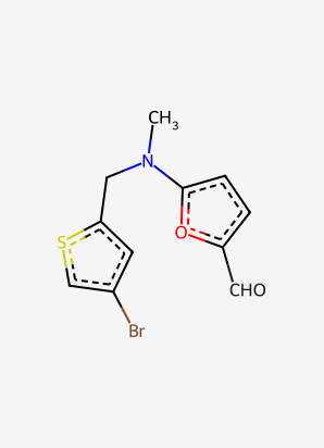 CN(Cc1cc(Br)cs1)c1ccc(C=O)o1